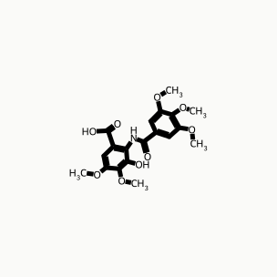 COc1cc(C(=O)Nc2c(C(=O)O)cc(OC)c(OC)c2O)cc(OC)c1OC